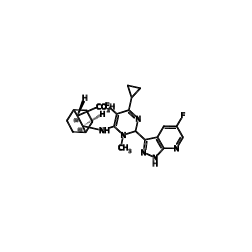 CN1C(N[C@H]2C3CCC(CC3)[C@@H]2C(=O)O)=C(F)C(C2CC2)=NC1c1n[nH]c2ncc(F)cc12